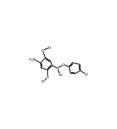 CCOc1cc(N(Oc2ccc(Cl)cc2)C(C)=O)c(OCC)cc1N